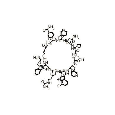 CN1C(=O)[C@H](CO)NC(=O)[C@H](C2CCC2)NC(=O)[C@H](CC(N)=O)NC(=O)[C@H](Cc2cccnc2)N(C)C(=O)[C@@H](Cc2cccc(C(N)=O)c2)NC(=O)CSC[C@@H](C(N)=O)NC(=O)[C@H](Cc2cn(C)c3ccccc23)NC(=O)[C@H](CCCCNC(N)=O)NC(=O)[C@H](Cc2cn(C)c3c(Cl)cccc23)NC(=O)[C@@H]1Cc1cccnc1